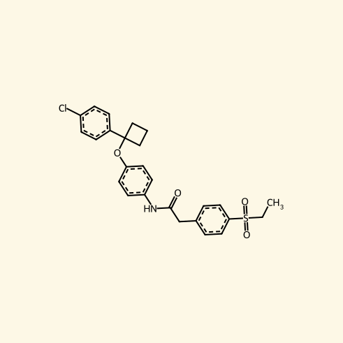 CCS(=O)(=O)c1ccc(CC(=O)Nc2ccc(OC3(c4ccc(Cl)cc4)CCC3)cc2)cc1